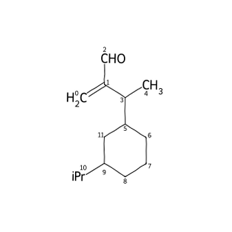 C=C(C=O)C(C)C1CCCC(C(C)C)C1